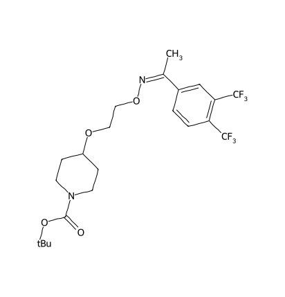 C/C(=N/OCCOC1CCN(C(=O)OC(C)(C)C)CC1)c1ccc(C(F)(F)F)c(C(F)(F)F)c1